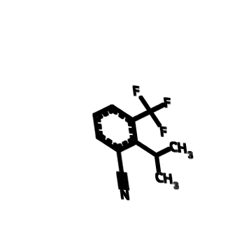 CC(C)c1c(C#N)cccc1C(F)(F)F